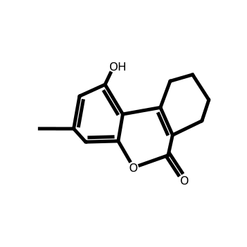 Cc1cc(O)c2c3c(c(=O)oc2c1)CCCC3